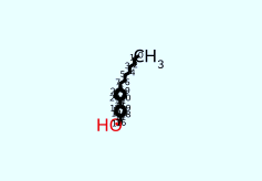 CCCCCCCCc1ccc(-c2ccc(CO)cc2)cc1